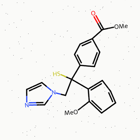 COC(=O)c1ccc(C(S)(Cn2ccnc2)c2ccccc2OC)cc1